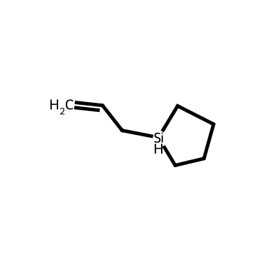 C=CC[SiH]1CCCC1